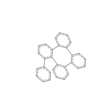 c1ccc(-c2cccc3c2-c2ccccc2-c2ccccc2-c2ccccc2-3)cc1